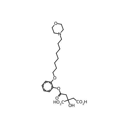 O=C(O)CC(O)(CC(=O)Oc1ccccc1OCCCCCCCCN1CCOCC1)C(=O)O